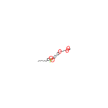 C=CC(=O)OCCCCCCOc1ccc(-c2ccc(C(=O)Oc3ccc(CCCCCCC)cc3F)cc2)cc1